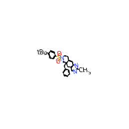 Cc1ncc2c(n1)C=C1CCN(S(=O)(=O)c3ccc(C(C)(C)C)cc3)CC1(Cc1ccccc1)C2